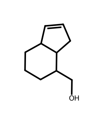 OCC1CCCC2C=CCC21